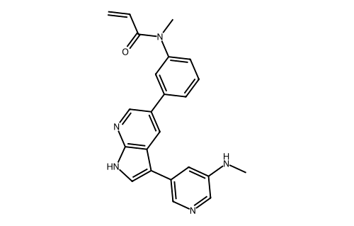 C=CC(=O)N(C)c1cccc(-c2cnc3[nH]cc(-c4cncc(NC)c4)c3c2)c1